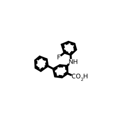 O=C(O)c1ccc(-c2ccccc2)cc1Nc1ccccc1F